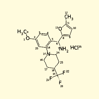 COc1ccc(C(N)c2ccc(C)o2)c(N2CCC(C(F)(F)F)CC2)c1.Cl